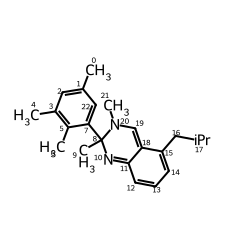 Cc1cc(C)c(C)c(C2(C)N=c3cccc(CC(C)C)c3=CN2C)c1